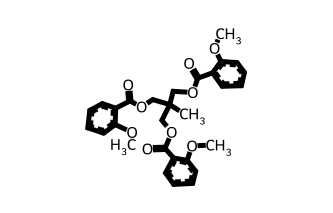 COc1ccccc1C(=O)OCC(C)(COC(=O)c1ccccc1OC)COC(=O)c1ccccc1OC